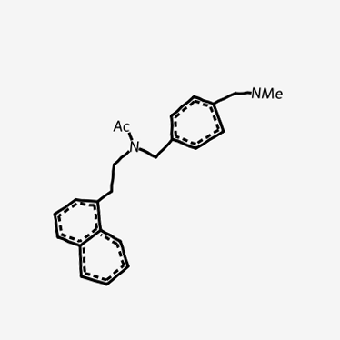 CNCc1ccc(CN(CCc2cccc3ccccc23)C(C)=O)cc1